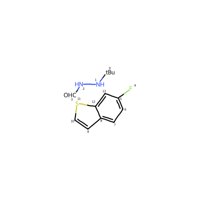 CC(C)(C)NNC=O.Fc1ccc2ccsc2c1